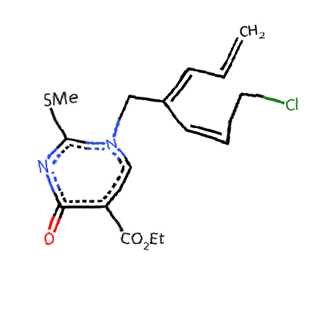 C=C/C=C(\C=C/CCl)Cn1cc(C(=O)OCC)c(=O)nc1SC